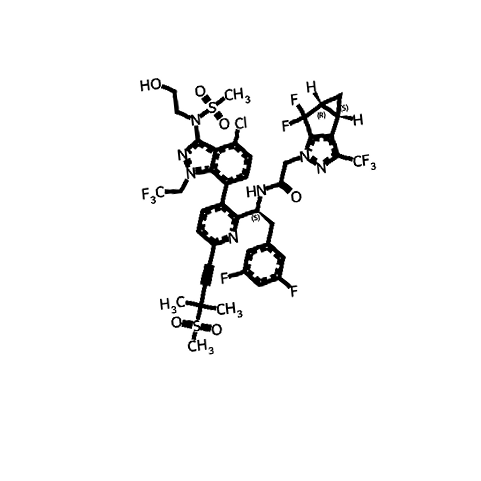 CC(C)(C#Cc1ccc(-c2ccc(Cl)c3c(N(CCO)S(C)(=O)=O)nn(CC(F)(F)F)c23)c([C@H](Cc2cc(F)cc(F)c2)NC(=O)Cn2nc(C(F)(F)F)c3c2C(F)(F)[C@@H]2C[C@H]32)n1)S(C)(=O)=O